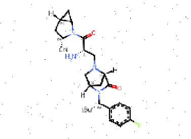 CC(C)(C)[C@@H](c1ccc(F)cc1)N1C(=O)[C@@H]2C[C@H]1CN2C[C@H](N)C(=O)N1C2C[C@H]2C[C@H]1C#N